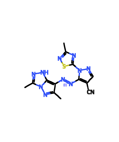 Cc1nsc(-n2ncc(C#N)c2/N=N/c2c(C)nn3c(C)n[nH]c23)n1